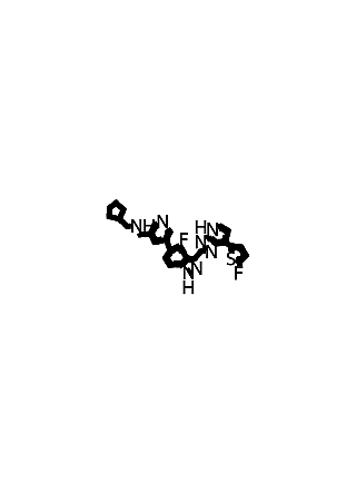 Fc1ccc(-c2ccnc3[nH]c(-c4n[nH]c5ccc(-c6cncc(CNCC7CCCC7)c6)c(F)c45)nc23)s1